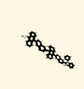 Cc1c2c(c(C3=CC4=CC=C(c5c6c(c(C7=CC8=CC=C(C9Nc%10ccccc%10N9C9C=CC=CC9)CC8CC7)c7ccccc57)=CCCC=6)CC4CC3)c3ccccc13)=CCCC=2